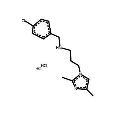 Cc1cn(CCCNCc2ccc(Cl)cc2)c(C)n1.Cl.Cl